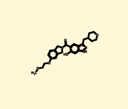 COCCOc1ccc2c(c1)CN(C(=O)c1cc3c(CC4CCOCC4)n[nH]c3cc1O)C2